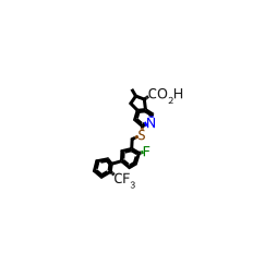 CC1Cc2cc(SCc3cc(-c4ccccc4C(F)(F)F)ccc3F)ncc2C1C(=O)O